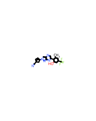 Cc1cc(C(F)(F)F)cc(O)c1-c1cnc2cn(C34CCC(C#N)(C3)C4)nc2n1